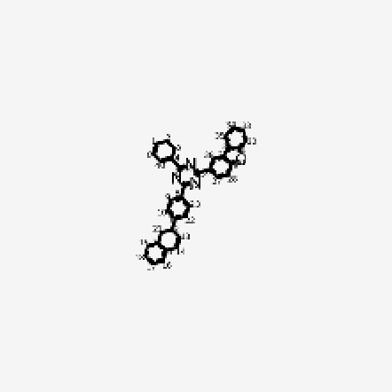 C1=CCCC(c2nc(-c3ccc(C4C=Cc5ccccc5C4)cc3)nc(-c3ccc4oc5ccccc5c4c3)n2)=C1